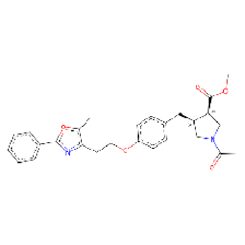 COC(=O)[C@H]1CN(C(C)=O)C[C@H]1Cc1ccc(OCCc2nc(-c3ccccc3)oc2C)cc1